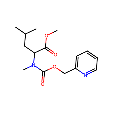 COC(=O)C(CC(C)C)N(C)C(=O)OCc1ccccn1